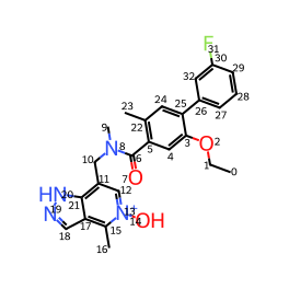 CCOc1cc(C(=O)N(C)Cc2c[n+](O)c(C)c3cn[nH]c23)c(C)cc1-c1cccc(F)c1